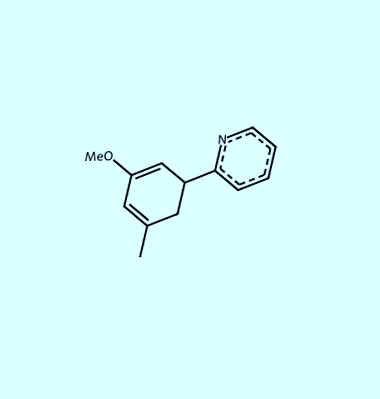 COC1=CC(c2ccccn2)CC(C)=C1